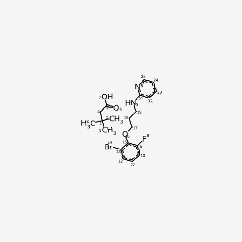 CC(C)(C)CC(=O)O.Fc1cccc(Br)c1OCCCNc1ccccn1